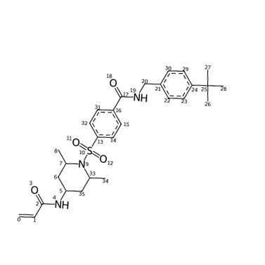 C=CC(=O)NC1CC(C)N(S(=O)(=O)c2ccc(C(=O)NCc3ccc(C(C)(C)C)cc3)cc2)C(C)C1